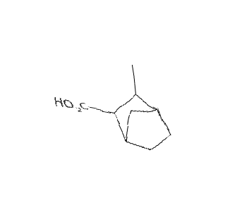 CC1C2CCC(C2)C1C(=O)O